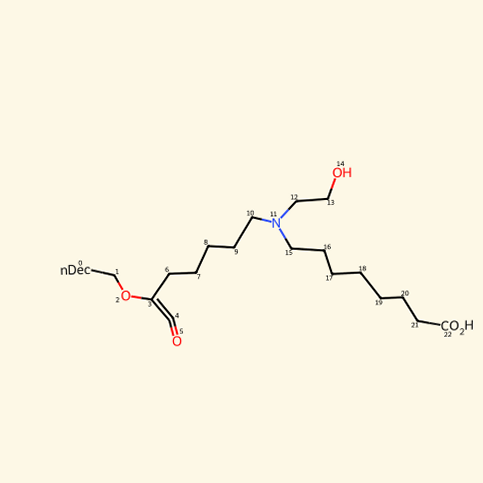 CCCCCCCCCCCOC(=C=O)CCCCCN(CCO)CCCCCCCC(=O)O